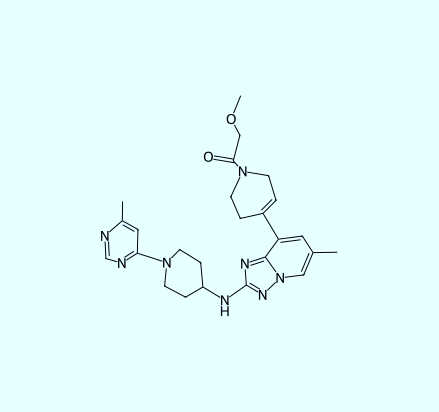 COCC(=O)N1CC=C(c2cc(C)cn3nc(NC4CCN(c5cc(C)ncn5)CC4)nc23)CC1